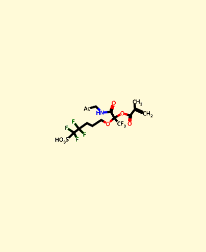 C=C(C)C(=O)OC(OCCCC(F)(F)C(F)(F)S(=O)(=O)O)(C(=O)NCC(C)=O)C(F)(F)F